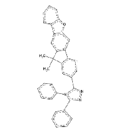 CC1(C)c2cc(-c3nnc(-c4ccccc4)n3-c3ccccc3)ccc2-c2cc3oc4ccccc4c3cc21